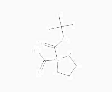 CC(C)(C)OC(=O)[N+]1(C(=O)O)CCCC1